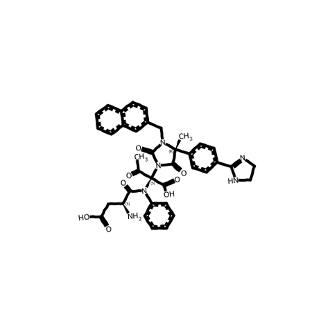 CC(=O)[C@@](C(=O)O)(N1C(=O)N(Cc2ccc3ccccc3c2)[C@](C)(c2ccc(C3=NCCN3)cc2)C1=O)N(C(=O)[C@@H](N)CC(=O)O)c1ccccc1